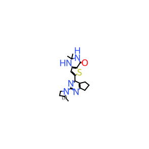 C[C@H]1CCN1c1nc2c(c(-c3cc4c(s3)C(=O)NC(C)(C)N4)n1)CCC2